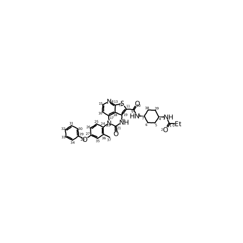 CCC(=O)N[C@H]1CC[C@@H](NC(=O)c2sc3nccc4c3c2NC(=O)N4c2ccc(Oc3ccccc3)cc2C)CC1